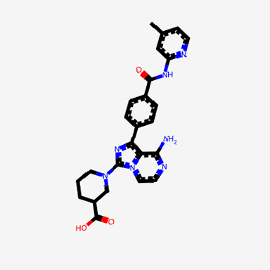 Cc1ccnc(NC(=O)c2ccc(-c3nc(N4CCCC(C(=O)O)C4)n4ccnc(N)c34)cc2)c1